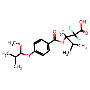 COC(Oc1ccc(C(=O)OC(C)(C(C)C)C(F)(F)C(=O)O)cc1)C(C)C